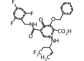 C=CC(CC(F)(F)F)Nn1cc(C(=O)NCc2c(F)cc(F)cc2F)c(=O)c(OCc2ccccc2)c1C(=O)O